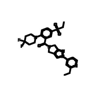 CCc1cc(-n2cc3c(n2)CN(C(=O)c2cc(S(=O)(=O)CC)ccc2N2CCC(F)(F)CC2)C3)ccn1